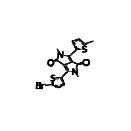 Cc1ccc(C2=C3C(=O)N(C)C(c4ccc(Br)s4)=C3C(=O)N2C)s1